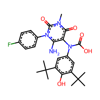 Cn1c(=O)c(N(C(=O)O)c2cc(C(C)(C)C)c(O)c(C(C)(C)C)c2)c(N)n(-c2ccc(F)cc2)c1=O